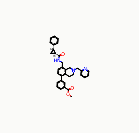 COC(=O)c1cccc(-c2ccc(CNC(=O)[C@H]3C[C@@H]3c3ccccc3)c3c2CCN(Cc2ccccn2)C3)c1